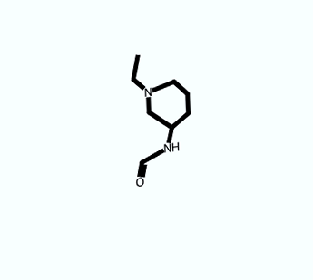 CCN1CCCC(NC=O)C1